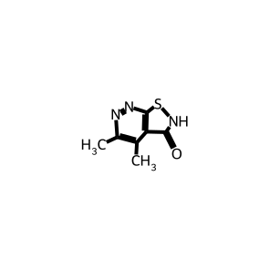 Cc1nnc2s[nH]c(=O)c2c1C